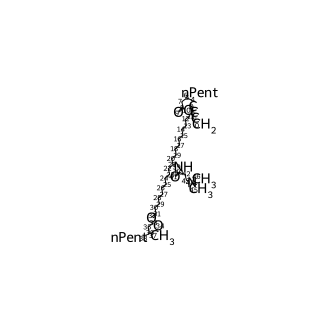 C=C=C=C=CC(CCCCC)CC(=O)OCCCCCCCCCCC(CCCCCCCCCCOC(=O)CC(C)CCCCC)NC(=O)CCN(C)C